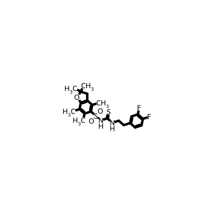 Cc1c(C)c(S(=O)(=O)NC(=S)NCCc2ccc(F)c(F)c2)c(C)c2c1OC(C)(C)C2